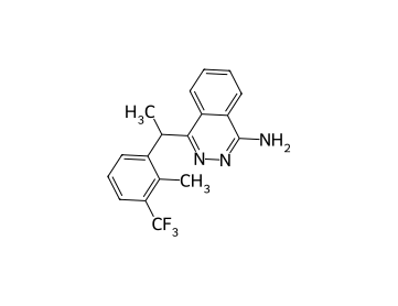 Cc1c(C(C)c2nnc(N)c3ccccc23)cccc1C(F)(F)F